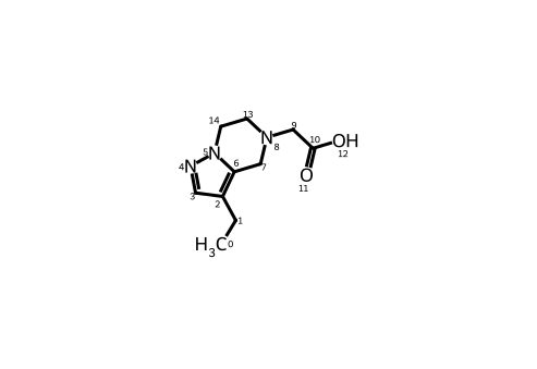 CCc1cnn2c1CN(CC(=O)O)CC2